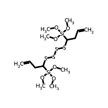 C=CCC(SSSSC(CC=C)[Si](OC)(OC)OC)[Si](OC)(OC)OC